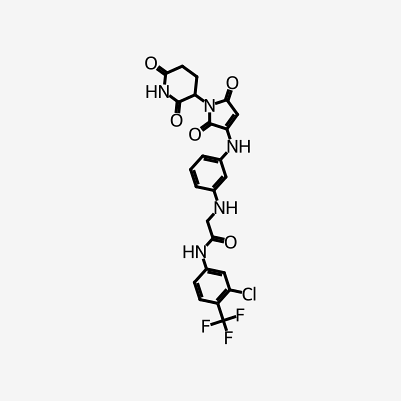 O=C1CCC(N2C(=O)C=C(Nc3cccc(NCC(=O)Nc4ccc(C(F)(F)F)c(Cl)c4)c3)C2=O)C(=O)N1